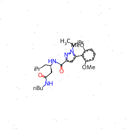 CCCCNC(=O)C[C@@H](CC(C)C)NC(=O)c1cc(-c2c(OC)cccc2OC)n(C(C)C(C)C)n1